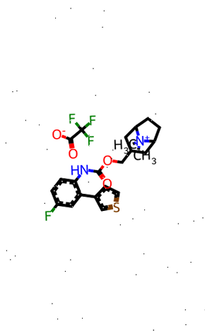 C[N+]1(C)C2CCC1CC(COC(=O)Nc1ccc(F)cc1-c1ccsc1)C2.O=C([O-])C(F)(F)F